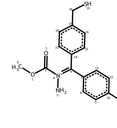 COC(=O)[N+](N)=C(c1ccc(Cl)cc1)c1ccc(CS)cc1